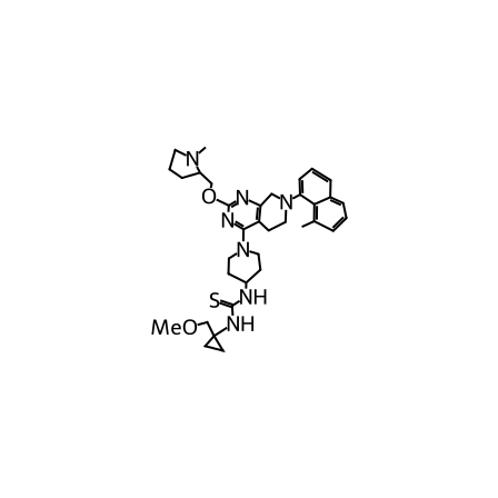 COCC1(NC(=S)NC2CCN(c3nc(OCC4CCCN4C)nc4c3CCN(c3cccc5cccc(C)c35)C4)CC2)CC1